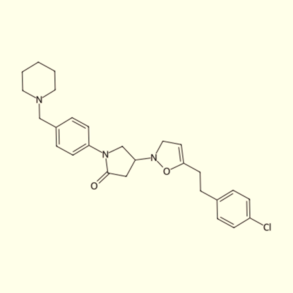 O=C1CC(N2CC=C(CCc3ccc(Cl)cc3)O2)CN1c1ccc(CN2CCCCC2)cc1